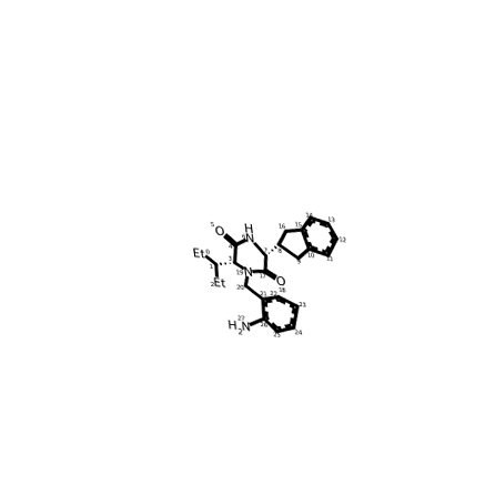 CCC(CC)[C@@H]1C(=O)N[C@H](C2Cc3ccccc3C2)C(=O)N1Cc1ccccc1N